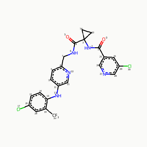 O=C(NC1(C(=O)NCc2ccc(Nc3ccc(Cl)cc3C(F)(F)F)cn2)CC1)c1cncc(Cl)c1